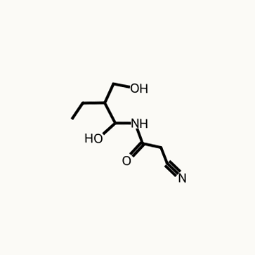 CCC(CO)C(O)NC(=O)CC#N